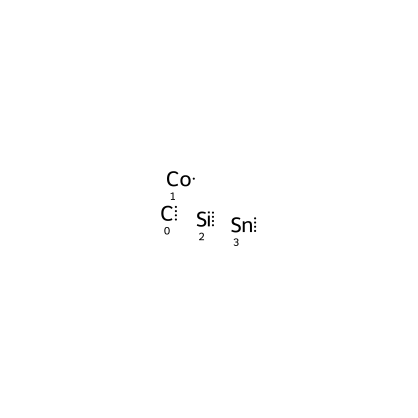 [C].[Co].[Si].[Sn]